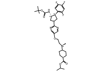 CC(C)OC(=O)N1CCC([C@H](C)CCOc2cnc(N3C[C@H](NC(=O)OC(C)(C)C)[C@@H](c4cc(F)c(F)cc4F)C3)nc2)CC1